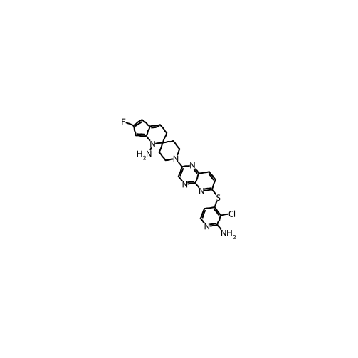 Nc1nccc(Sc2ccc3nc(N4CCC5(CC=C6C=C(F)C=C6N5N)CC4)cnc3n2)c1Cl